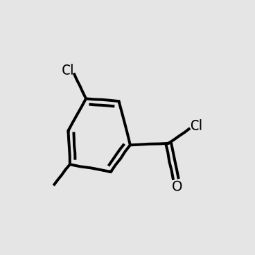 Cc1cc(Cl)cc(C(=O)Cl)c1